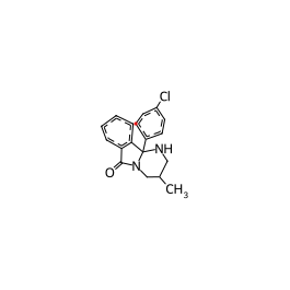 CC1CNC2(c3ccc(Cl)cc3)c3ccccc3C(=O)N2C1